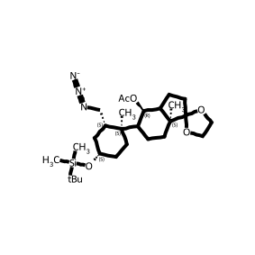 CC(=O)O[C@H]1C2CCC3(OCCO3)[C@@]2(C)CCC1[C@@]1(C)CC[C@H](O[Si](C)(C)C(C)(C)C)C[C@@H]1CN=[N+]=[N-]